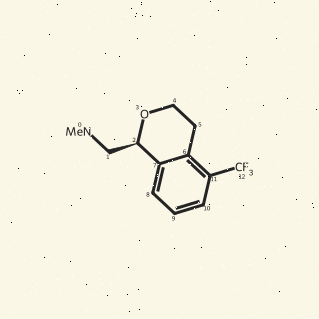 CNC[C@H]1OCCc2c1cccc2C(F)(F)F